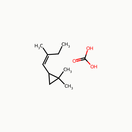 CCC(C)=CC1CC1(C)C.O=C(O)O